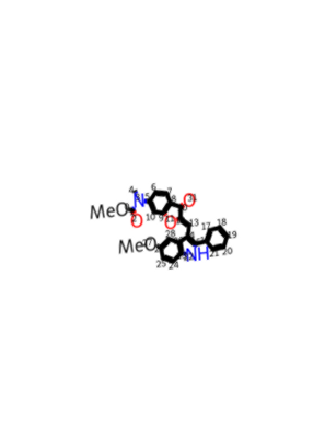 COC(=O)N(C)c1ccc2c(c1)OC(=Cc1c(-c3ccccc3)[nH]c3ccc(OC)cc13)C2=O